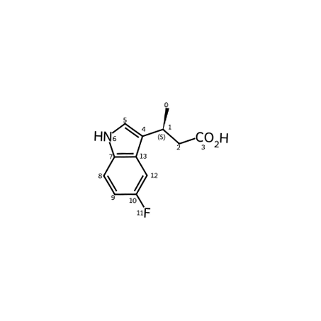 C[C@@H](CC(=O)O)c1c[nH]c2ccc(F)cc12